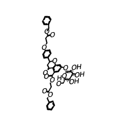 O=C(CCOC(=O)c1cc(O[C@H]2O[C@H](CO)[C@H](O)[C@H](O)[C@H]2O)cc2c1C(=O)CC(c1ccc(OCCC(=O)OCc3ccccc3)cc1)O2)OCc1ccccc1